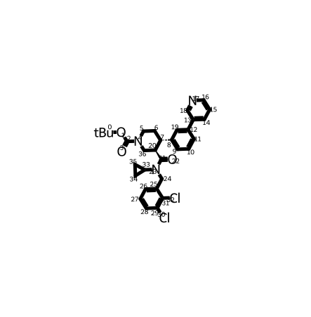 CC(C)(C)OC(=O)N1CC[C@H](c2cccc(-c3cccnc3)c2)[C@@H](C(=O)N(Cc2cccc(Cl)c2Cl)C2CC2)C1